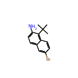 CC(C)(C)c1c(N)ccc2cc(Br)ccc12